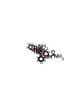 NC(=O)C[C@H]1CC[C@H](c2cnc(N3C4CCC3CN(c3cc(-c5ccccc5O)nnc3N)C4)nc2)CC1